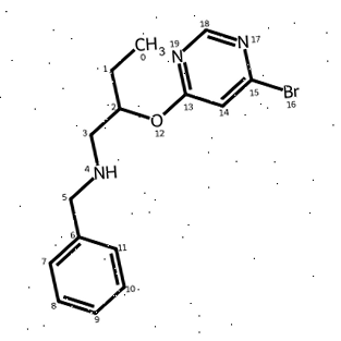 CCC(CNCc1ccccc1)Oc1cc(Br)ncn1